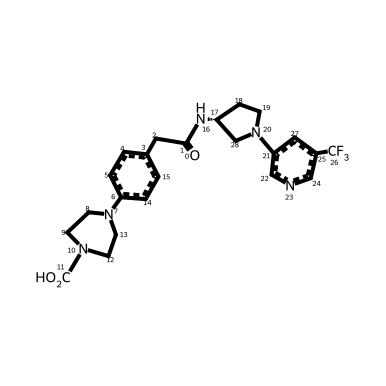 O=C(Cc1ccc(N2CCN(C(=O)O)CC2)cc1)N[C@@H]1CCN(c2cncc(C(F)(F)F)c2)C1